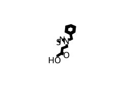 O=C(CO)CCN(Cc1ccccc1)N=S